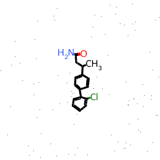 CC(CC(N)=O)c1ccc(-c2ccccc2Cl)cc1